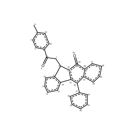 Cc1ccc(C(=O)CC2c3ccccc3-c3c(-c4ccccc4)c4ccccc4c(=O)n32)cc1